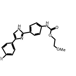 CCc1ccc(-c2c[nH]c(-c3ccc(NC(=O)OCCOC)cc3)n2)cc1